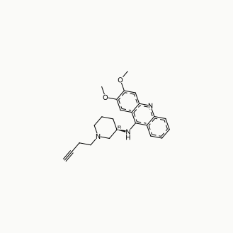 C#CCCN1CCC[C@@H](Nc2c3ccccc3nc3cc(OC)c(OC)cc23)C1